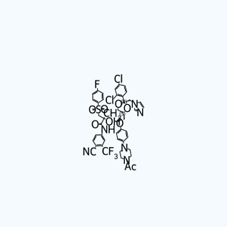 CC(=O)N1CCN(c2ccc(OC[C@H]3CO[C@](Cn4ccnc4)(c4ccc(Cl)cc4Cl)O3)cc2)CC1.CC(O)(CS(=O)(=O)c1ccc(F)cc1)C(=O)Nc1ccc(C#N)c(C(F)(F)F)c1